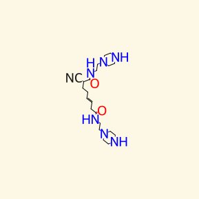 N#CC(CCC=CCC(=O)NCCN1CCNCC1)C(=O)NCCN1CCNCC1